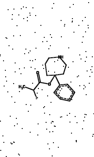 CC(I)C(=O)OC1(c2ccccc2)CCCNCC1